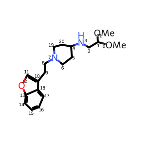 COC(CNC1CCN(CCc2coc3ccccc23)CC1)OC